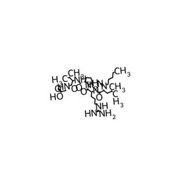 CCCCCN(N)C(CC(C)C)C(=O)NC(CCCNC(=N)N)C(=O)N1CCC[C@H]1C(=O)NC(C(=O)NCC(=O)O)C(C)C